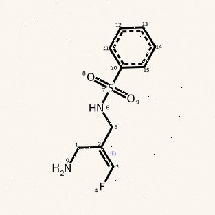 NC/C(=C\F)CNS(=O)(=O)c1ccccc1